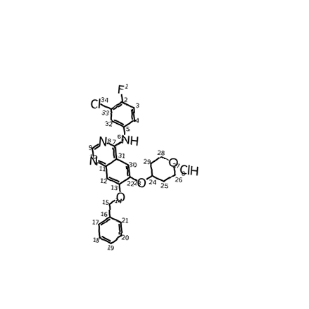 Cl.Fc1ccc(Nc2ncnc3cc(OCc4ccccc4)c(OC4CCOCC4)cc23)cc1Cl